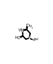 CC1CN(C(C)(C)C)CC(O)N1